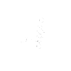 O=c1c2nc(S(=O)(=O)c3ccc(Cl)cc3)n([C@@H]3OC4COP(O)O[C@H]4C3O)c2nc2[nH]c(-c3ccccc3)cn12